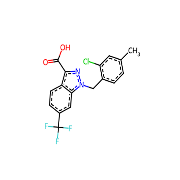 Cc1ccc(Cn2nc(C(=O)O)c3ccc(C(F)(F)F)cc32)c(Cl)c1